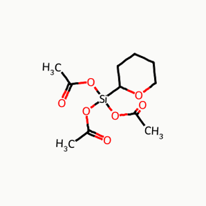 CC(=O)O[Si](OC(C)=O)(OC(C)=O)C1CCCCO1